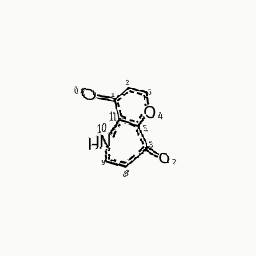 O=c1ccoc2c(=O)cc[nH]c12